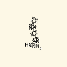 C[C@](N)(CO)c1nnc(-c2ccc(-c3noc(C4CCCC4)n3)cc2)s1